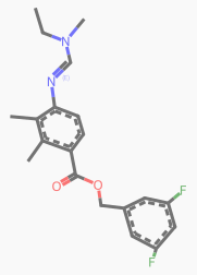 CCN(C)/C=N/c1ccc(C(=O)OCc2cc(F)cc(F)c2)c(C)c1C